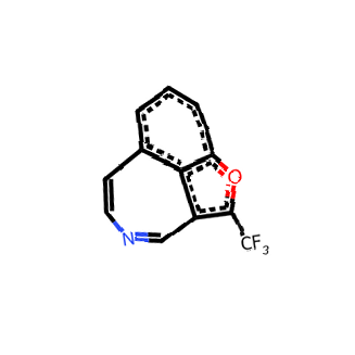 FC(F)(F)c1oc2cccc3c2c1C=NC=C3